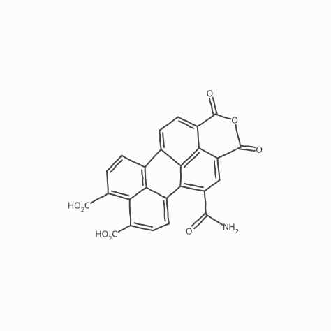 NC(=O)c1cc2c3c(ccc4c5ccc(C(=O)O)c6c(C(=O)O)ccc(c1c34)c65)C(=O)OC2=O